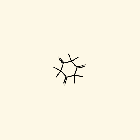 CC1(C)C(=O)C(C)(C)C(=O)C(C)(C)C1=O